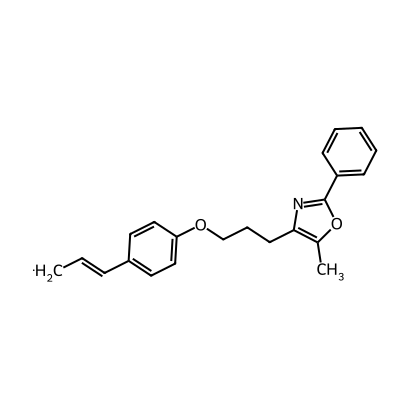 [CH2]/C=C/c1ccc(OCCCc2nc(-c3ccccc3)oc2C)cc1